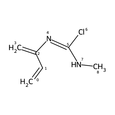 C=CC(=C)/N=C(/Cl)NC